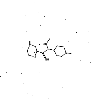 CNN(C(=N)C1CNCCO1)C1CCN(C)CC1